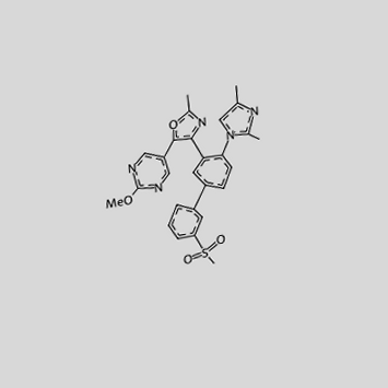 COc1ncc(-c2oc(C)nc2-c2cc(-c3cccc(S(C)(=O)=O)c3)ccc2-n2cc(C)nc2C)cn1